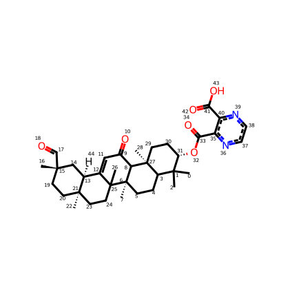 CC1(C)C2CC[C@]3(C)C(C(=O)C=C4[C@@H]5C[C@@](C)(C=O)CC[C@]5(C)CCC43C)[C@@]2(C)CC[C@@H]1OC(=O)c1nccnc1C(=O)O